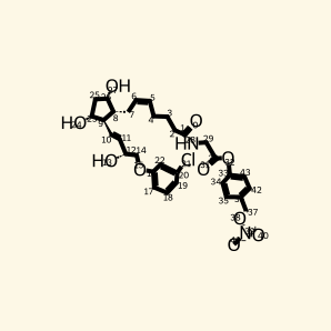 O=C(CCC/C=C\C[C@@H]1[C@@H](/C=C/[C@@H](O)COc2cccc(Cl)c2)[C@H](O)C[C@@H]1O)NCC(=O)Oc1ccc(CO[N+](=O)[O-])cc1